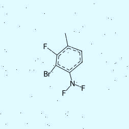 Cc1ccc(N(F)F)c(Br)c1F